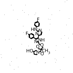 CC1(C(=O)N2CCC(O)C2)COC(c2nc(-c3ccc(F)cc3)c(-c3ccnc(Nc4ccc(F)cc4)n3)[nH]2)OC1